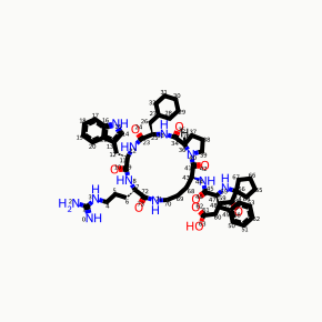 N=C(N)NCCC[C@@H]1NC(=O)[C@H](Cc2c[nH]c3ccccc23)NC(=O)[C@@H](CC2CCCCC2)NC(=O)[C@@H]2CCCN2C(=O)[C@@H](NC(=O)[C@H](Cc2ccccc2)NC2(C(=O)CCC(=O)O)CCCC2)CCCNC1=O